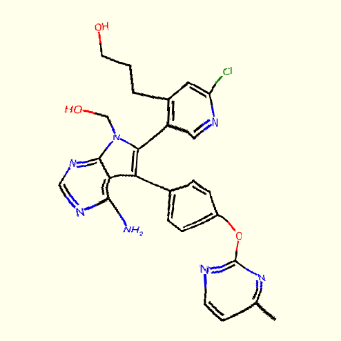 Cc1ccnc(Oc2ccc(-c3c(-c4cnc(Cl)cc4CCCO)n(CO)c4ncnc(N)c34)cc2)n1